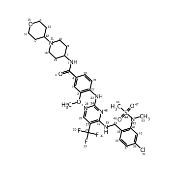 COc1cc(C(=O)NC2CCN(C3CCOCC3)CC2)ccc1Nc1ncc(C(F)(F)F)c(NCc2ccc(Cl)cc2N(C)S(C)(=O)=O)n1